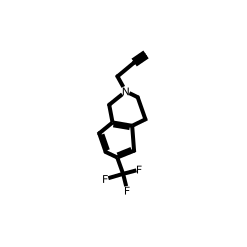 C#CCN1CCc2cc(C(F)(F)F)ccc2C1